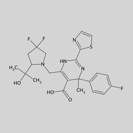 CC1(c2ccc(F)cc2)N=C(c2nccs2)NC(CN2CC(F)(F)CC2C(C)(C)O)=C1C(=O)O